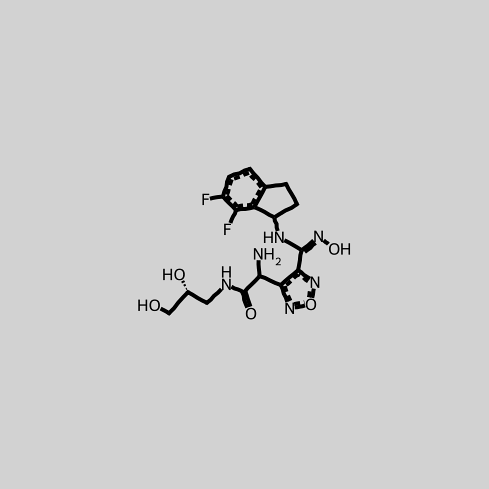 NC(C(=O)NC[C@@H](O)CO)c1nonc1/C(=N\O)NC1CCc2ccc(F)c(F)c21